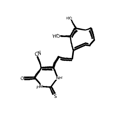 N#Cc1c(C=Cc2cccc(O)c2O)[nH]c(=S)[nH]c1=O